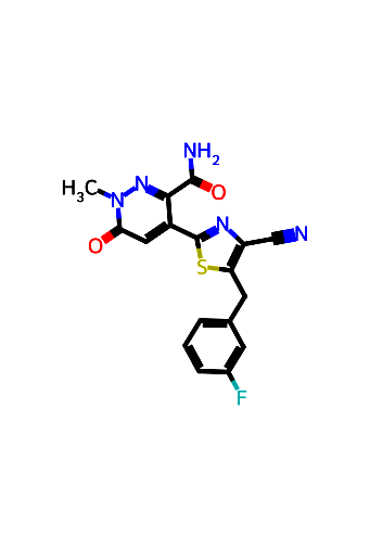 Cn1nc(C(N)=O)c(-c2nc(C#N)c(Cc3cccc(F)c3)s2)cc1=O